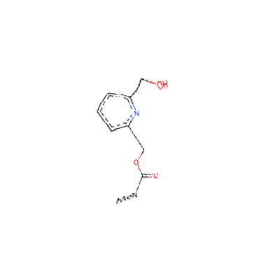 CNC(=O)OCc1cccc(CO)n1